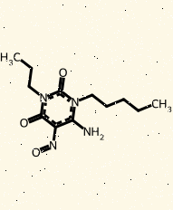 CCCCCn1c(N)c(N=O)c(=O)n(CCC)c1=O